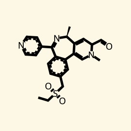 CCS(=O)(=O)Cc1ccc2c(c1)C1=CN(C)C(C=O)C=C1[C@H](C)N=C2c1ccncc1